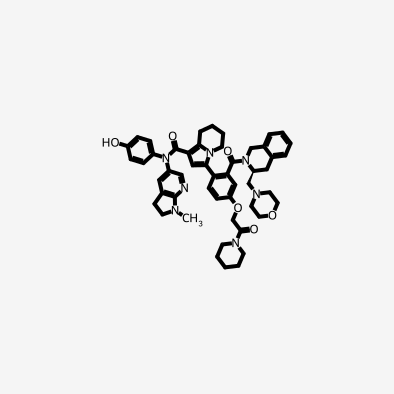 CN1CCc2cc(N(C(=O)c3cc(-c4ccc(OCC(=O)N5CCCCC5)cc4C(=O)N4Cc5ccccc5C[C@H]4CN4CCOCC4)n4c3CCCC4)c3ccc(O)cc3)cnc21